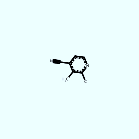 Cc1c(C#N)ccnc1Cl